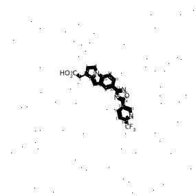 O=C(O)C[C@H]1CCn2c1cc1cc(-c3noc(-c4ccc(C(F)(F)F)nc4)n3)ccc12